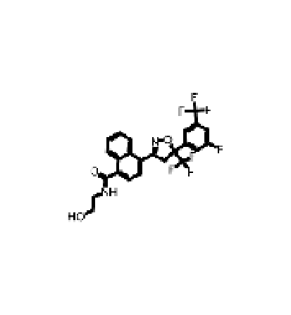 O=C(NCCO)c1ccc(C2=NOC(c3cc(F)cc(C(F)(F)F)c3)(C(F)(F)F)C2)c2ccccc12